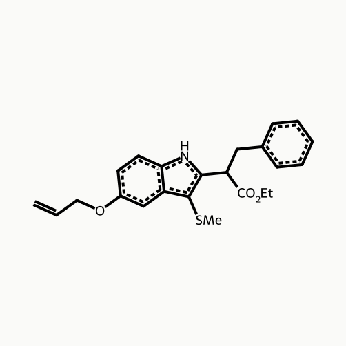 C=CCOc1ccc2[nH]c(C(Cc3ccccc3)C(=O)OCC)c(SC)c2c1